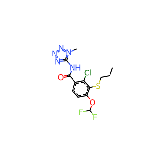 CCCSc1c(OC(F)F)ccc(C(=O)Nc2nnnn2C)c1Cl